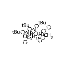 Cc1cc(C(C)(C)C)ccc1N1c2cc(-c3ccccc3)ccc2B2c3ccc(N4c5ccc(-c6ccccc6)cc5C5(C)CCc6ccccc6C45C)cc3N(c3ccc(C(C)(C)C)cc3)c3cc(C(C)(C)C)cc1c32